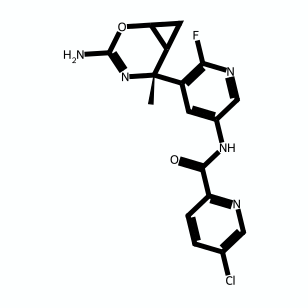 C[C@@]1(c2cc(NC(=O)c3ccc(Cl)cn3)cnc2F)N=C(N)OC2CC21